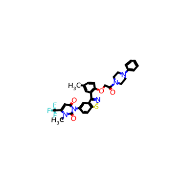 Cc1ccc(OCC(=O)N2CCN(c3ccccc3)CC2)c(-c2nsc3ccc(-n4c(=O)cc(C(F)(F)F)n(C)c4=O)cc23)c1